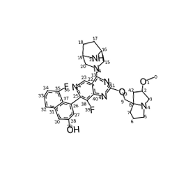 COC1CN2CCCC2(COc2nc(N3CC4CCC(C3)N4)c3cnc(-c4cc(O)cc5cccc(F)c45)c(F)c3n2)C1